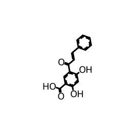 O=C(O)c1cc(C(=O)/C=C/c2ccccc2)c(O)cc1O